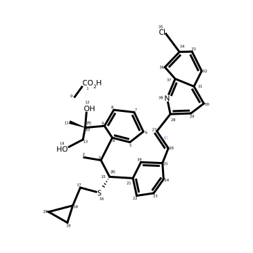 CC(=O)O.CC(c1ccccc1[C@@](C)(O)CO)[C@@H](SCC1CC1)c1cccc(/C=C/c2ccc3ccc(Cl)cc3n2)c1